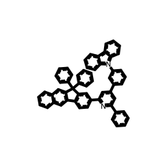 c1ccc(-c2cc(-c3cccc(-n4c5ccccc5c5ccccc54)c3)cc(-c3ccc4c(c3)C(c3ccccc3)(c3ccccc3)c3cc5ccccc5cc3-4)n2)cc1